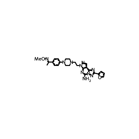 CO/N=C(\C)c1ccc(N2CCN(CCn3ncc4c3nc(N)n3nc(-c5ccco5)nc43)CC2)cc1